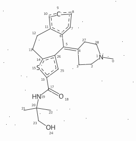 CN1CCC(=C2c3ccccc3CCc3sc(C(=O)NC(C)(C)CO)cc32)CC1